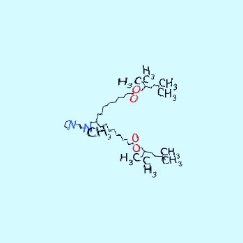 CC(C)CCC(COC(=O)CCCCCCCCCC(CCCCCCCCCC(=O)OCC(CCC(C)C)C(C)C)CN(C)CCN1CCCC1)C(C)C